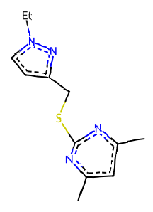 CCn1ccc(CSc2nc(C)cc(C)n2)n1